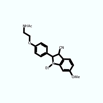 CCN1c2cc(OC)ccc2C(C#N)C1c1ccc(OCCNC(C)=O)cc1